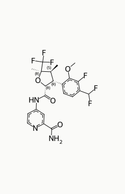 COc1c([C@@H]2[C@H](C(=O)Nc3ccnc(C(N)=O)c3)O[C@@](C)(C(F)(F)F)[C@H]2C)ccc(C(F)F)c1F